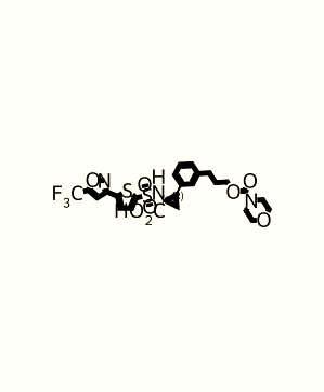 O=C(OCCCc1cccc([C@H]2C[C@@]2(NS(=O)(=O)c2ccc(-c3cc(C(F)(F)F)on3)s2)C(=O)O)c1)N1CCOCC1